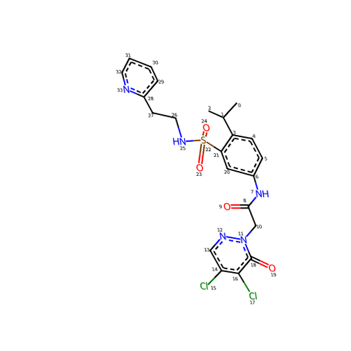 CC(C)c1ccc(NC(=O)Cn2ncc(Cl)c(Cl)c2=O)cc1S(=O)(=O)NCCc1ccccn1